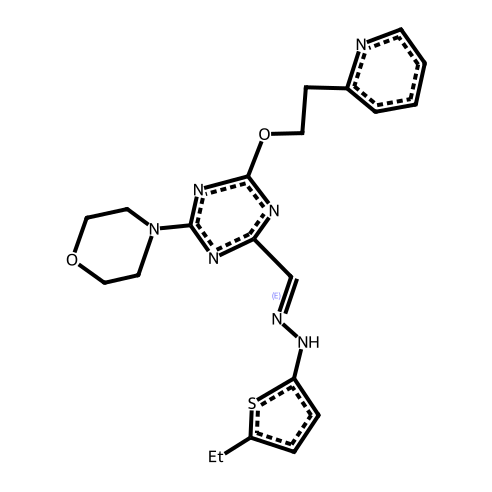 CCc1ccc(N/N=C/c2nc(OCCc3ccccn3)nc(N3CCOCC3)n2)s1